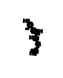 CCc1cc(O)ccc1-c1ccc2c(-c3nc(C4=CCN(CCS(=O)(=O)NC)C4)c[nH]3)n[nH]c2c1